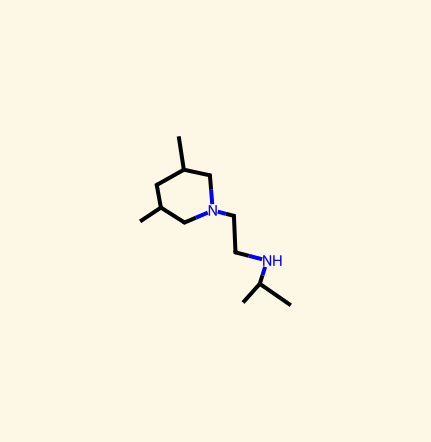 CC1CC(C)CN(CCNC(C)C)C1